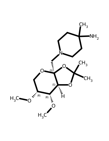 CO[C@@H]1[C@H](OC)CO[C@@]2(CN3CCC(C)(N)CC3)OC(C)(C)O[C@@H]12